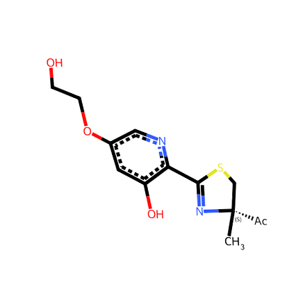 CC(=O)[C@@]1(C)CSC(c2ncc(OCCO)cc2O)=N1